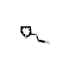 C=CSc1cccs1